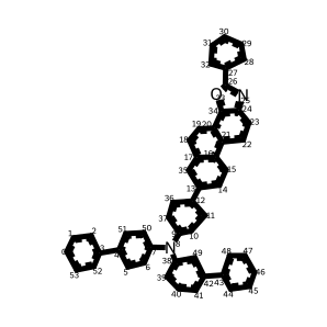 c1ccc(-c2ccc(N(c3ccc(-c4ccc5c(ccc6c5ccc5nc(-c7ccccc7)oc56)c4)cc3)c3cccc(-c4ccccc4)c3)cc2)cc1